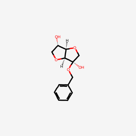 O[C@H]1CO[C@H]2[C@@H]1OC[C@@]2(O)OCc1ccccc1